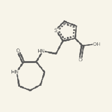 O=C(O)c1ccsc1CNC1CCCCNC1=O